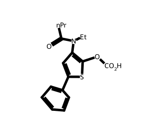 CCCC(=O)N(CC)c1cc(-c2ccccc2)sc1OC(=O)O